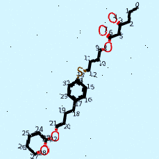 CCCC(=O)CC(=O)OCCCCSc1ccc(CCCCOC2CCCCO2)cc1